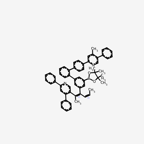 C/C=C\C(=C(/C)c1cnc(-c2ccccc2)cc1-c1ccccc1)c1cc(B2OC(C)(C)C(C)(C)O2)cc(-c2ccccc2-c2ccc(-c3cc(C)c(-c4ccccc4)cn3)cc2)c1